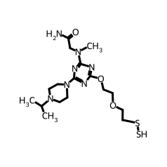 CC(C)N1CCN(c2nc(OCCOCCSS)nc(N(C)CC(N)=O)n2)CC1